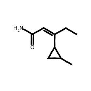 CC/C(=C/C(N)=O)C1CC1C